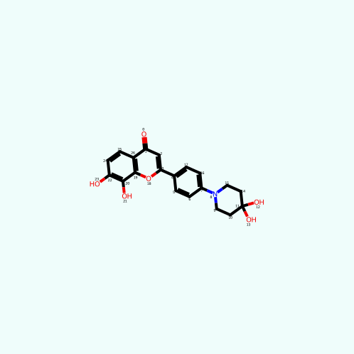 O=c1cc(-c2ccc(N3CCC(O)(O)CC3)cc2)oc2c(O)c(O)ccc12